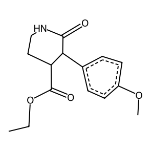 CCOC(=O)C1CCNC(=O)C1c1ccc(OC)cc1